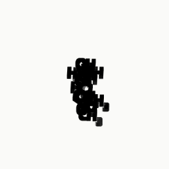 COC(=O)[C@]1(C)CCC[C@@]2(C)[C@@H]3C[C@@H]4CC[C@@]3(CC[C@@H]21)[C@H](O)[C@H]4CO